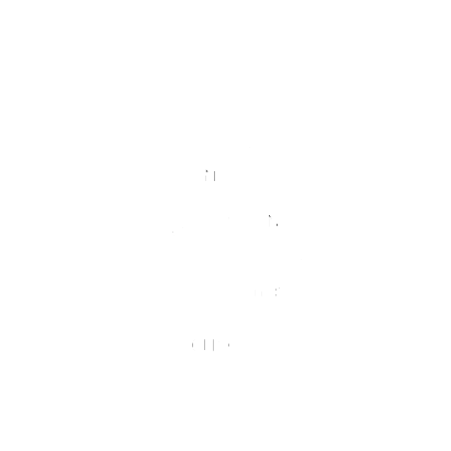 CCCC(CC=O)P1(=O)N(c2ccccc2)CCN1c1ccccc1